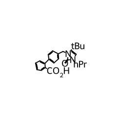 CCCn1cc(C(C)(C)C)n(Cc2ccc(-c3ccccc3C(=O)O)cc2)c1=O